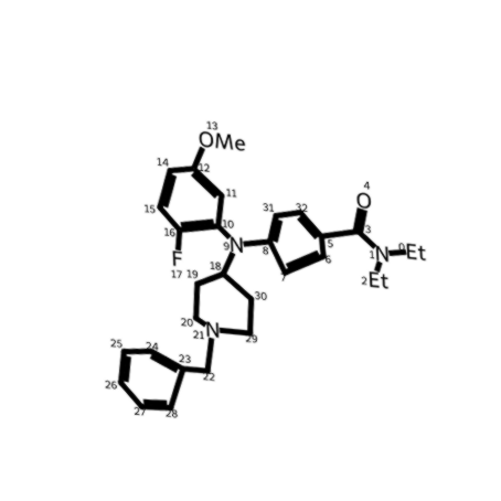 CCN(CC)C(=O)c1ccc(N(c2cc(OC)ccc2F)C2CCN(Cc3ccccc3)CC2)cc1